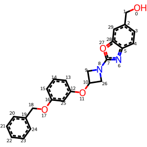 OCc1ccc2nc(N3CC(Oc4cccc(OCc5ccccc5)c4)C3)oc2c1